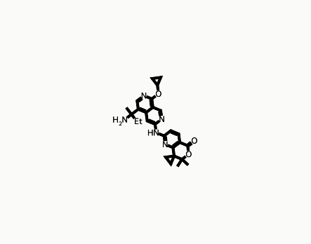 CCC(C)(N)c1cnc(OC2CC2)c2cnc(Nc3ccc4c(n3)C3(CC3)C(C)(C)OC4=O)cc12